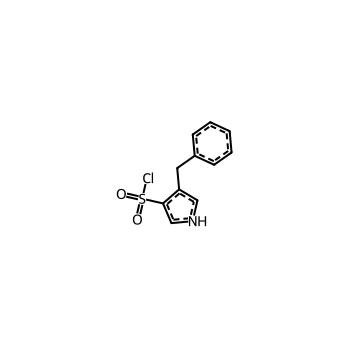 O=S(=O)(Cl)c1c[nH]cc1Cc1ccccc1